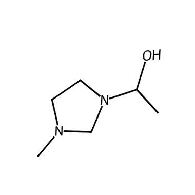 CC(O)N1CCN(C)C1